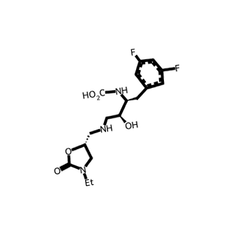 CCN1C[C@@H](CNC[C@H](O)[C@H](Cc2cc(F)cc(F)c2)NC(=O)O)OC1=O